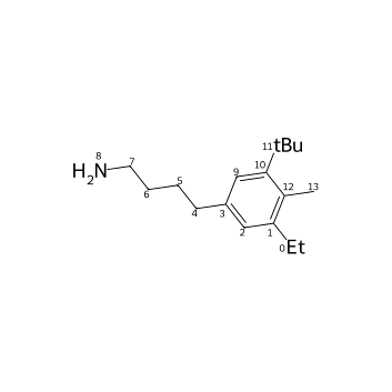 CCc1cc(CCCCN)cc(C(C)(C)C)c1C